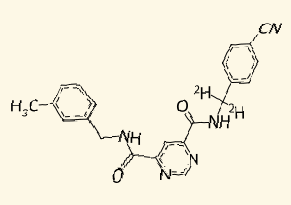 [2H]C([2H])(NC(=O)c1cc(C(=O)NCc2cccc(C)c2)ncn1)c1ccc(C#N)cc1